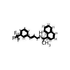 C[C@@H](NCC=Cc1cccc(C(F)(F)F)c1)c1cccc2ccccc12